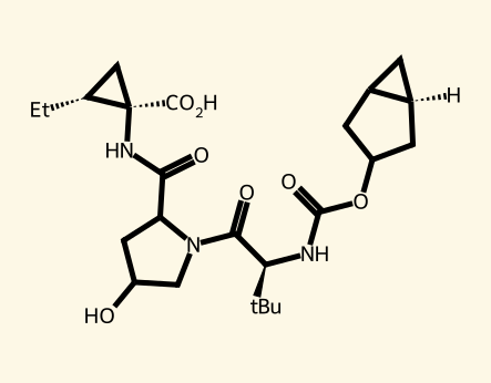 CC[C@@H]1C[C@]1(NC(=O)C1CC(O)CN1C(=O)[C@@H](NC(=O)OC1CC2C[C@H]2C1)C(C)(C)C)C(=O)O